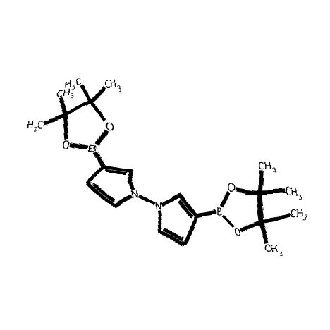 CC1(C)OB(c2ccn(-n3ccc(B4OC(C)(C)C(C)(C)O4)c3)c2)OC1(C)C